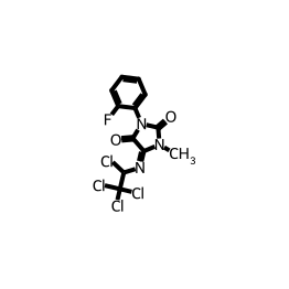 CN1C(=O)N(c2ccccc2F)C(=O)C1=NC(Cl)C(Cl)(Cl)Cl